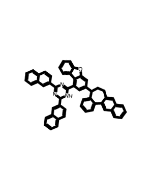 c1ccc2c(c1)-c1cc3ccccc3cc1CCC2c1cc(C2=NC(c3ccc4ccccc4c3)=NC(c3ccc4ccccc4c3)N2)c2c(c1)oc1ccccc12